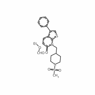 CCOC=O.CS(=O)(=O)N1CCC(Cn2c(=O)ccc3c(-c4ccccc4)csc32)CC1